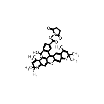 CC1=CC(C)(C)N=c2cc3c(cc21)=C(c1cc(C(=O)ON2C(=O)CCC2=O)ccc1C(=O)O)C1=CC2C(C)=CC(C)(C)N=C2C=C1O3